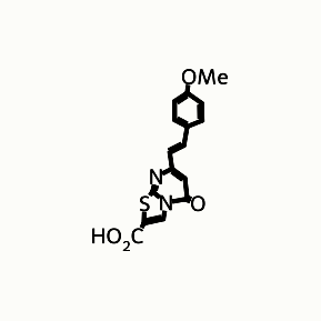 COc1ccc(/C=C/c2cc(=O)n3cc(C(=O)O)sc3n2)cc1